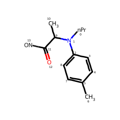 CCCN(c1ccc(C)cc1)C(C)C(=O)N=O